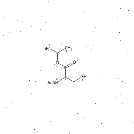 CC(=O)NC(CS)C(=O)OC(C)C(C)C